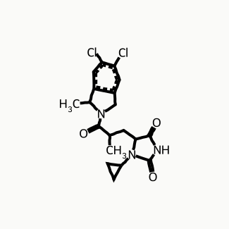 CC(CC1C(=O)NC(=O)N1C1CC1)C(=O)N1Cc2cc(Cl)c(Cl)cc2C1C